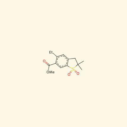 CCc1cc2c(cc1C(=O)OC)S(=O)(=O)C(C)(C)C2